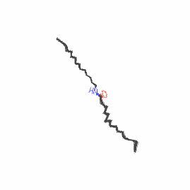 CCCCCCCCCCCCCCNC(=O)CCCCCCCCCCCCC